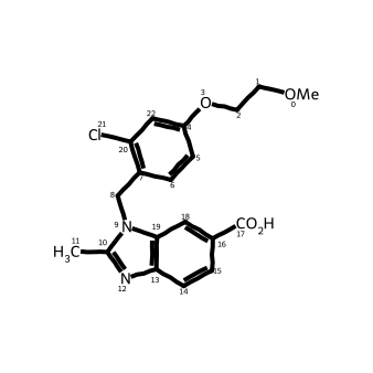 COCCOc1ccc(Cn2c(C)nc3ccc(C(=O)O)cc32)c(Cl)c1